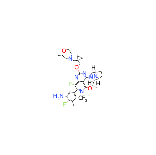 Cc1c(F)c(N)cc(-c2nc3c4c(nc(OCC5(CN6CCO[C@H](C)C6)CC5)nc4c2F)N2C[C@H]4CC[C@H](N4)[C@H]2[C@H](C)O3)c1C(F)(F)F